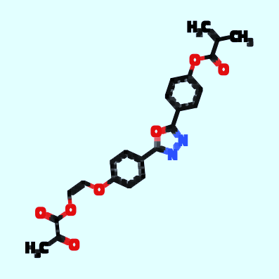 C=C(C)C(=O)Oc1ccc(-c2nnc(-c3ccc(O/C=C\OC(=O)C(C)=O)cc3)o2)cc1